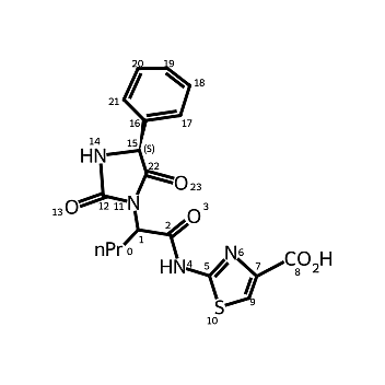 CCCC(C(=O)Nc1nc(C(=O)O)cs1)N1C(=O)N[C@@H](c2ccccc2)C1=O